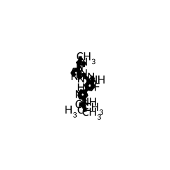 Cc1cn(-c2ccnc3[nH]c(-c4n[nH]c5c(F)cc(-c6cncc(NC(=O)C(C)(C)C)c6)cc45)nc23)cn1